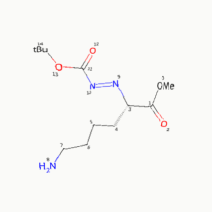 COC(=O)[C@H](CCCCN)N=NC(=O)OC(C)(C)C